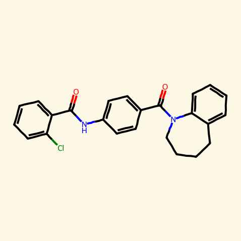 O=C(Nc1ccc(C(=O)N2CCCCc3ccccc32)cc1)c1ccccc1Cl